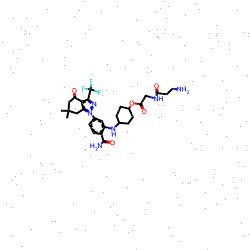 CC1(C)CC(=O)c2c(C(F)(F)F)nn(-c3ccc(C(N)=O)c(NC4CCC(OC(=O)CNC(=O)CCN)CC4)c3)c2C1